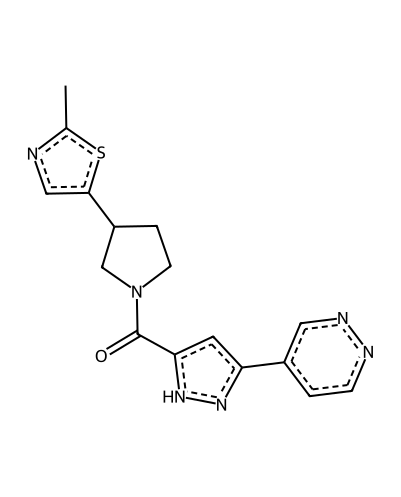 Cc1ncc(C2CCN(C(=O)c3cc(-c4ccnnc4)n[nH]3)C2)s1